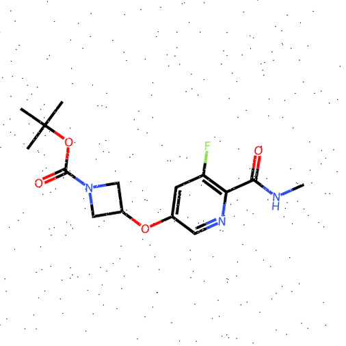 CNC(=O)c1ncc(OC2CN(C(=O)OC(C)(C)C)C2)cc1F